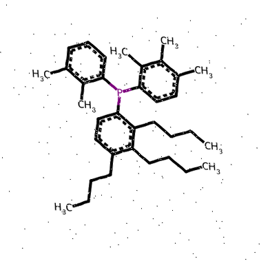 CCCCc1ccc(P(c2cccc(C)c2C)c2ccc(C)c(C)c2C)c(CCCC)c1CCCC